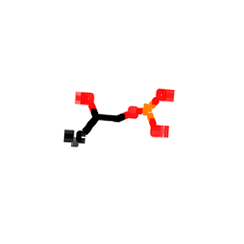 CC(O)COP(O)O